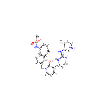 CCCS(=O)(=O)Nc1cccc2c(Oc3ncccc3-c3ccnc(N[C@@H]4CNCC[C@H]4C)n3)c(C)ccc12